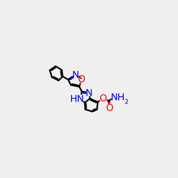 NC(=O)Oc1cccc2[nH]c(-c3cc(-c4ccccc4)no3)nc12